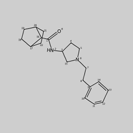 O=C(NC1CCN(CCc2ccccc2)C1)C1C2CCC1CC2